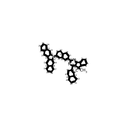 CC1(C)c2ccccc2-c2nc(-c3ccc4c(c3)C=C(n3c5cc6ccccc6cc5c5cc6ccccc6cc53)CC4)nc(-c3ccc4ccccc4c3)c21